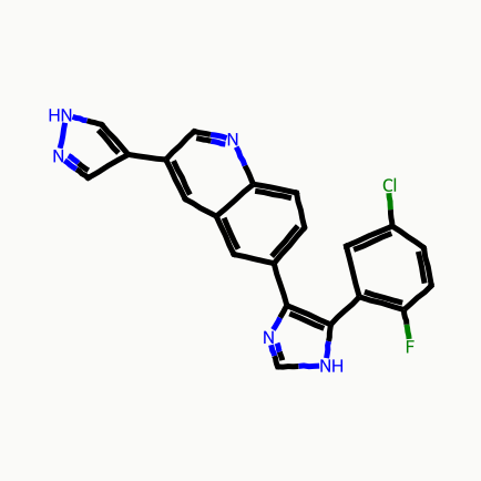 Fc1ccc(Cl)cc1-c1[nH]cnc1-c1ccc2ncc(-c3cn[nH]c3)cc2c1